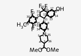 COC(OC)C1CCN(c2ccc([C@@H]3c4ccc(O)cc4C(F)(F)C[C@@H]3c3cc(F)c(C)cc3F)cc2)CC1